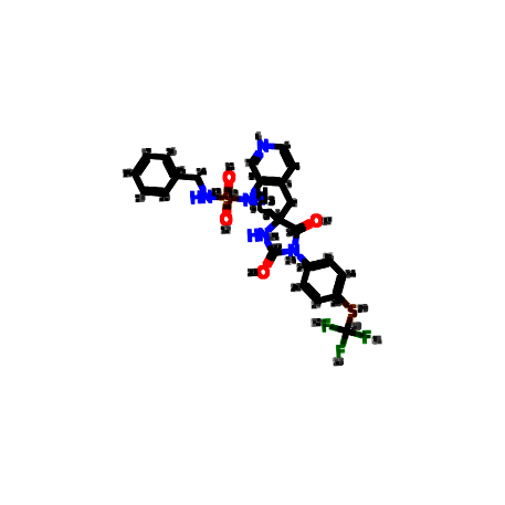 CC1(Cc2ccncc2NS(=O)(=O)NCc2ccccc2)NC(=O)N(c2ccc(SC(F)(F)F)cc2)C1=O